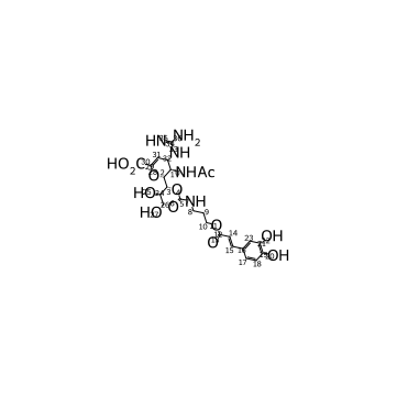 CC(=O)N[C@H]1[C@H]([C@H](OC(=O)NCCCOC(=O)/C=C/c2ccc(O)c(O)c2)[C@H](O)CO)OC(C(=O)O)=C[C@@H]1NC(=N)N